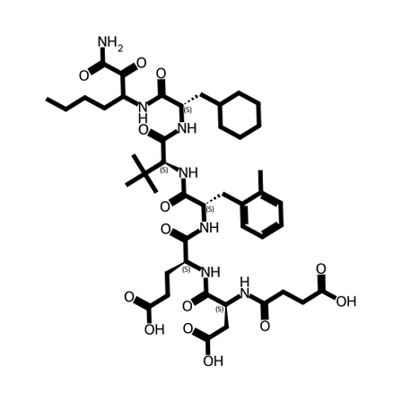 CCCCC(NC(=O)[C@H](CC1CCCCC1)NC(=O)[C@@H](NC(=O)[C@H](Cc1ccccc1C)NC(=O)[C@H](CCC(=O)O)NC(=O)[C@H](CC(=O)O)NC(=O)CCC(=O)O)C(C)(C)C)C(=O)C(N)=O